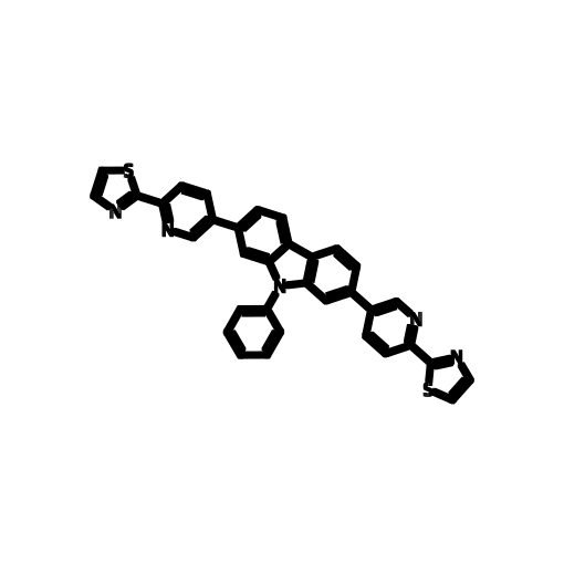 c1ccc(-n2c3cc(-c4ccc(-c5nccs5)nc4)ccc3c3ccc(-c4ccc(-c5nccs5)nc4)cc32)cc1